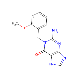 COc1ccccc1Cn1c(N)nc2nc[nH]c2c1=O